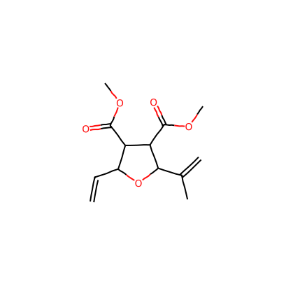 C=CC1OC(C(=C)C)C(C(=O)OC)C1C(=O)OC